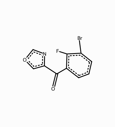 O=C(c1cocn1)c1cccc(Br)c1F